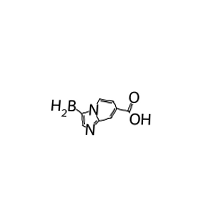 Bc1cnc2cc(C(=O)O)ccn12